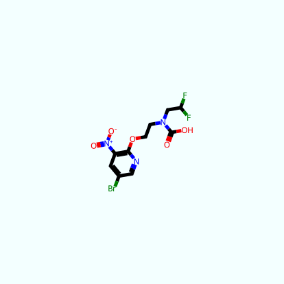 O=C(O)N(CCOc1ncc(Br)cc1[N+](=O)[O-])CC(F)F